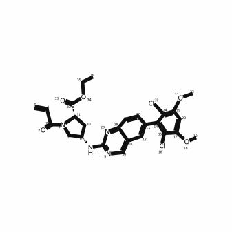 C=CC(=O)N1C[C@@H](Nc2ncc3cc(-c4c(Cl)c(OC)cc(OC)c4Cl)ccc3n2)C[C@H]1C(=O)OCC